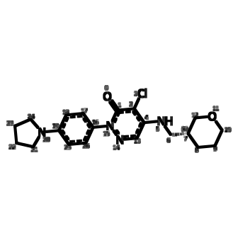 O=c1c(Cl)c(NC[C@H]2CCCOC2)cnn1-c1ccc(N2CCCC2)cc1